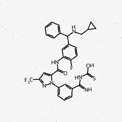 N=C(NC(O)=S)c1cccc(-n2nc(C(F)(F)F)cc2C(=O)Nc2cc(C(NCC3CC3)c3ccccc3)ccc2F)c1